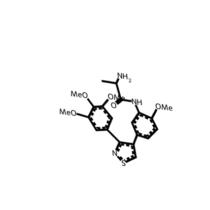 COc1ccc(-c2csnc2-c2cc(OC)c(OC)c(OC)c2)cc1NC(=O)C(C)N